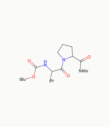 CNC(=O)C1CCCN1C(=O)C(NC(=O)OC(C)(C)C)C(C)C